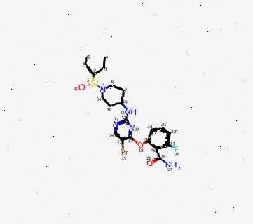 CCC(CC)[S+]([O-])N1CCC(Nc2ncc(Br)c(Oc3cccc(F)c3C(N)=O)n2)CC1